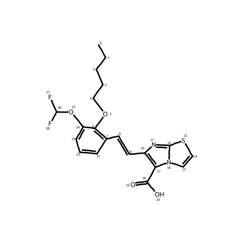 CCCCCOc1c(C=Cc2nc3sccn3c2C(=O)O)cccc1OC(F)F